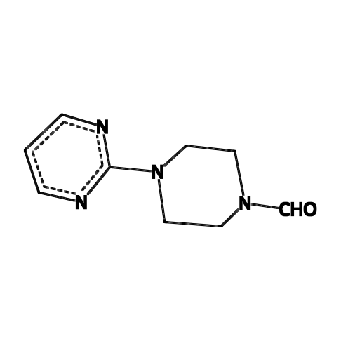 O=CN1CCN(c2ncccn2)CC1